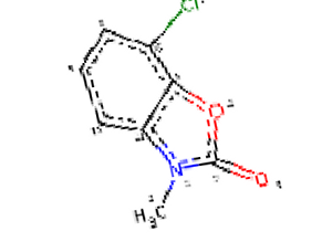 Cn1c(=O)oc2c(Cl)c[c]cc21